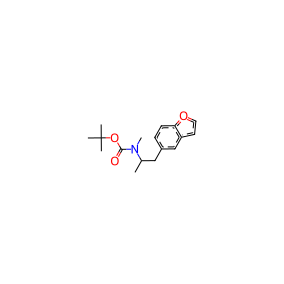 CC(Cc1ccc2occc2c1)N(C)C(=O)OC(C)(C)C